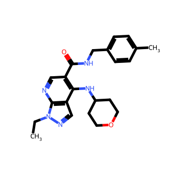 CCn1ncc2c(NC3CCOCC3)c(C(=O)NCc3ccc(C)cc3)cnc21